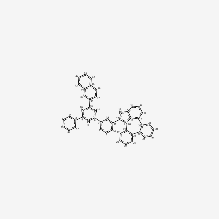 c1ccc(-c2nc(-c3cccc(-c4nc5cccc6c5n4-c4ccccc4-c4ccccc4-6)c3)nc(-c3ccc4ccccc4c3)n2)cc1